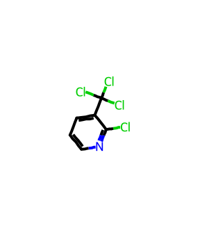 Clc1ncccc1C(Cl)(Cl)Cl